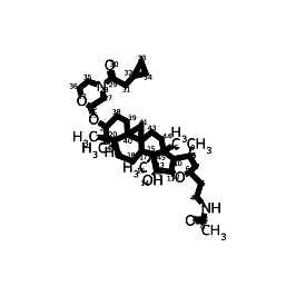 CC(=O)NCCC1C[C@@H](C)C2C(O1)[C@H](O)[C@@]1(C)C3CC[C@H]4C(C)(C)C(OC5CN(C(=O)CC6CC6)CCO5)CCC45CC35CCC21C